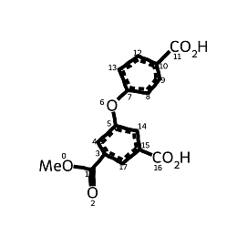 COC(=O)c1cc(Oc2ccc(C(=O)O)cc2)cc(C(=O)O)c1